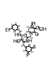 CCc1cccc(CNC[C@H](O)[C@H](Cc2cc(F)cc(F)c2)NC(=O)CN2CCN(CC)C(=O)C2=O)c1.Cl